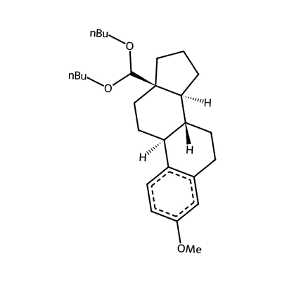 CCCCOC(OCCCC)[C@@]12CCC[C@H]1[C@@H]1CCc3cc(OC)ccc3[C@H]1CC2